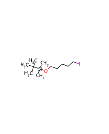 CC(C)(C)[Si](C)(C)OCCCCCI